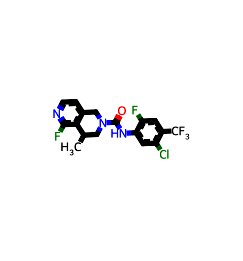 CC1CN(C(=O)Nc2cc(Cl)c(C(F)(F)F)cc2F)Cc2ccnc(F)c21